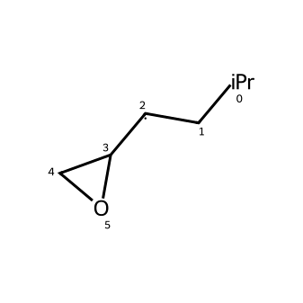 CC(C)C[CH]C1CO1